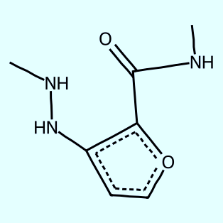 CNNc1ccoc1C(=O)NC